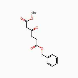 CC(C)(C)OC(=O)CC(=O)CCC(=O)OCc1ccccc1